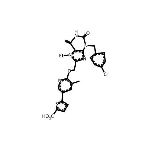 C=C1NC(=O)N(Cc2ccc(Cl)cc2)c2nc(COc3ncc(-c4ccc(C(=O)O)s4)cc3C)n(CC)c21